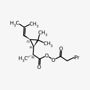 CC(C)=C[C@@H]1[C@H]([C@@H](C)C(=O)OOC(=O)CC(C)C)C1(C)C